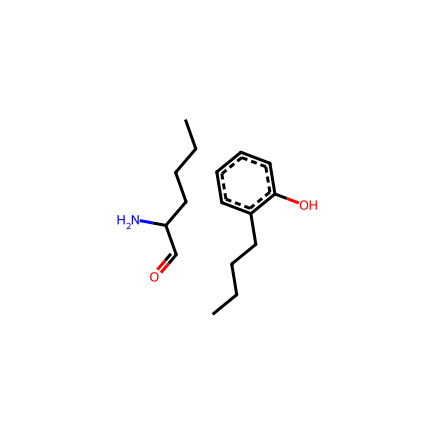 CCCCC(N)C=O.CCCCc1ccccc1O